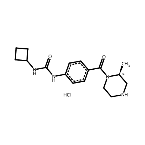 C[C@H]1CNCCN1C(=O)c1ccc(NC(=O)NC2CCC2)cc1.Cl